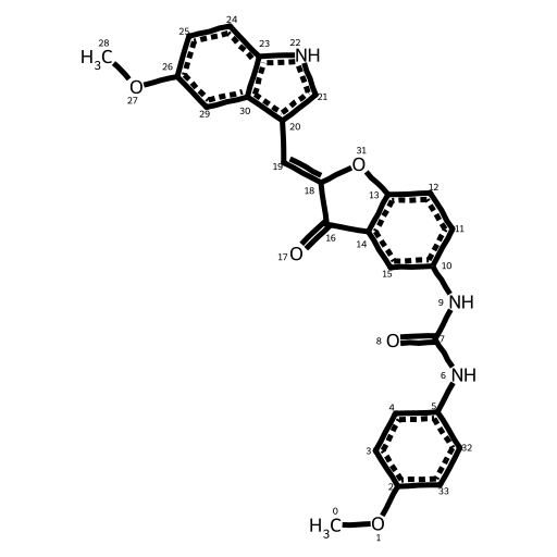 COc1ccc(NC(=O)Nc2ccc3c(c2)C(=O)/C(=C/c2c[nH]c4ccc(OC)cc24)O3)cc1